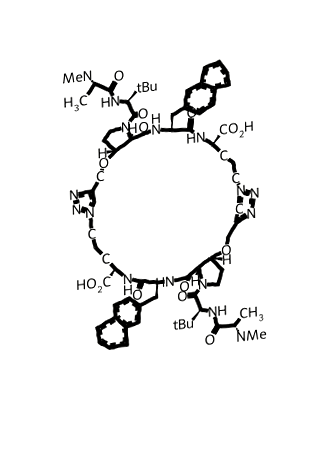 CN[C@@H](C)C(=O)N[C@H](C(=O)N1CC[C@H]2OCc3cn(nn3)CCC[C@H](C(=O)O)NC(=O)[C@H](Cc3ccc4ccccc4c3)NC(=O)[C@@H]3[C@@H](CCN3C(=O)[C@@H](NC(=O)[C@H](C)NC)C(C)(C)C)OCc3cn(nn3)CCC[C@H](C(=O)O)NC(=O)[C@H](Cc3ccc4ccccc4c3)NC(=O)[C@H]21)C(C)(C)C